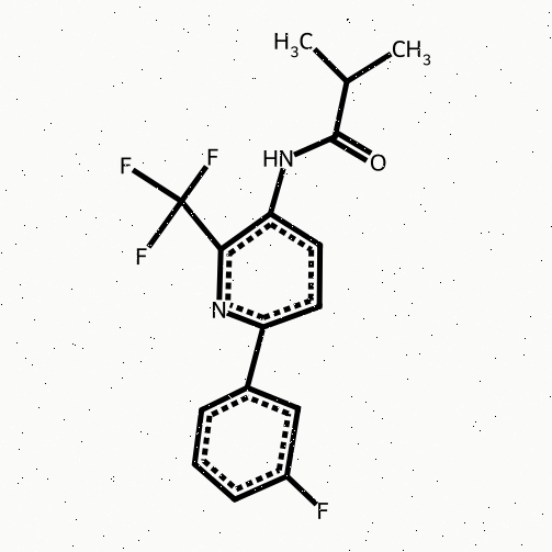 CC(C)C(=O)Nc1ccc(-c2cccc(F)c2)nc1C(F)(F)F